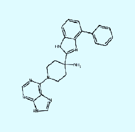 NC1(c2nc3c(-c4ccccc4)cccc3[nH]2)CCN(c2ncnc3[nH]cnc23)CC1